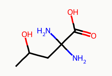 CC(O)CC(N)(N)C(=O)O